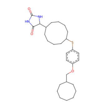 O=C1NC(=O)C(C2CCCCC(Sc3ccc(OCC4CCCCCCC4)cc3)CCCC2)N1